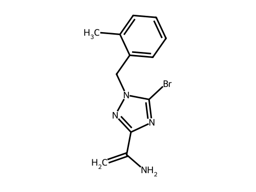 C=C(N)c1nc(Br)n(Cc2ccccc2C)n1